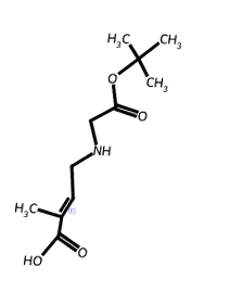 C/C(=C\CNCC(=O)OC(C)(C)C)C(=O)O